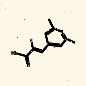 Cc1cc(/C=C(\F)C(=O)O)cc(C)n1